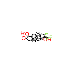 C[C@]12CC[C@H]3[C@@H](CCC4=C(O)C(=O)CC[C@@H]43)[C@@H]1CC[C@]2(O)C(F)(F)F